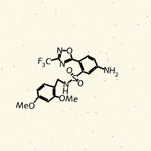 COc1ccc(CNS(=O)(=O)c2cc(N)ccc2-c2nc(C(F)(F)F)no2)c(OC)c1